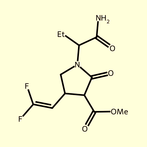 CCC(C(N)=O)N1CC(C=C(F)F)C(C(=O)OC)C1=O